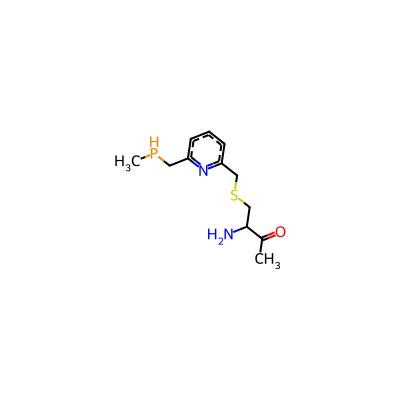 CPCc1cccc(CSCC(N)C(C)=O)n1